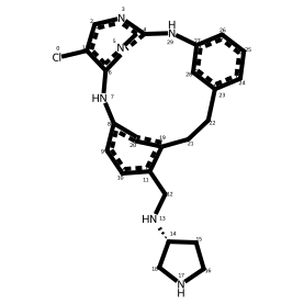 Clc1cnc2nc1Nc1ccc(CN[C@@H]3CCNC3)c(c1)CCc1cccc(c1)N2